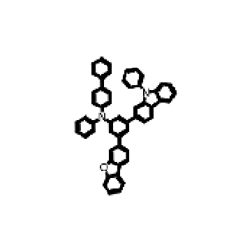 c1ccc(-c2ccc(N(c3ccccc3)c3cc(-c4ccc5c(c4)oc4ccccc45)cc(-c4ccc5c6ccccc6n(-c6ccccc6)c5c4)c3)cc2)cc1